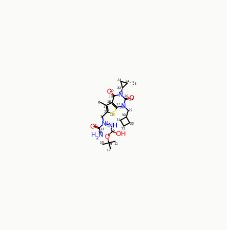 Cc1c(CN(NC(O)OC(C)(C)C)C(N)=O)sc2c1c(=O)n([C@H]1C[C@@H]1C)c(=O)n2CC1CCC1